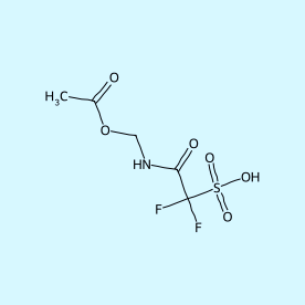 CC(=O)OCNC(=O)C(F)(F)S(=O)(=O)O